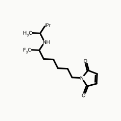 CC(C)C(C)NC(CCCCCN1C(=O)C=CC1=O)C(F)(F)F